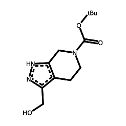 CC(C)(C)OC(=O)N1CCc2c(CO)n[nH]c2C1